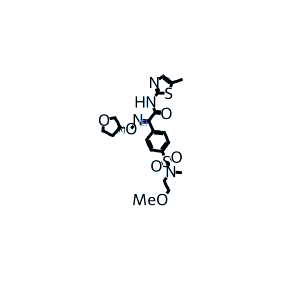 COCCN(C)S(=O)(=O)c1ccc(/C(=N\O[C@@H]2CCOC2)C(=O)Nc2ncc(C)s2)cc1